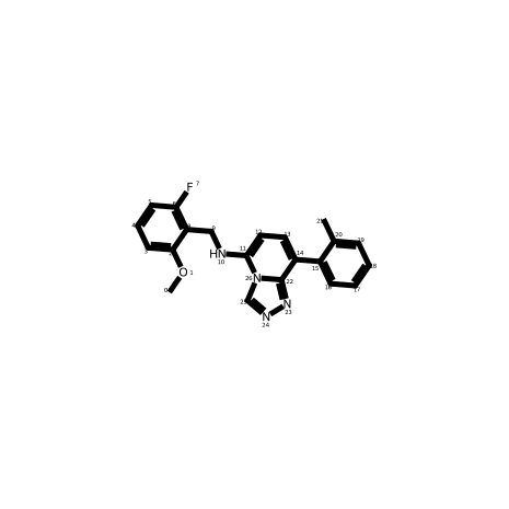 COc1cccc(F)c1CNc1ccc(-c2ccccc2C)c2nncn12